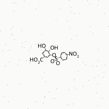 O=C(O)c1cc(O)c(O)c(OS(=O)(=O)c2ccc([N+](=O)[O-])cc2)c1